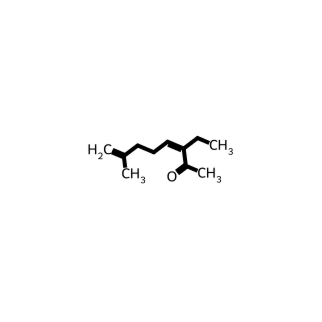 C=C(C)CCC=C(CC)C(C)=O